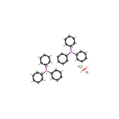 C.O=S.[Pt].c1ccc(P(c2ccccc2)c2ccccc2)cc1.c1ccc(P(c2ccccc2)c2ccccc2)cc1